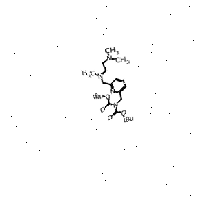 CN(C)CCN(C)Cc1cccc(CN(C(=O)OC(C)(C)C)C(=O)OC(C)(C)C)n1